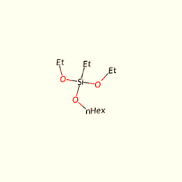 CCCCCCO[Si](CC)(OCC)OCC